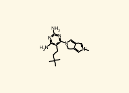 C[N+]1=CC2=CN(c3nc(N)nc(N)c3CCC(C)(C)C)CC2=C1